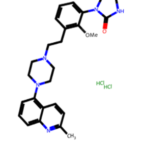 COc1c(CCN2CCN(c3cccc4nc(C)ccc34)CC2)cccc1N1CCNC1=O.Cl.Cl